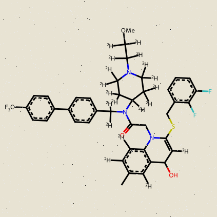 [2H]C1=C(SCc2cccc(F)c2F)N(CC(=O)N(C([2H])([2H])c2ccc(-c3ccc(C(F)(F)F)cc3)cc2)C2([2H])C([2H])([2H])C([2H])([2H])N(C([2H])([2H])C([2H])([2H])OC)C([2H])([2H])C2([2H])[2H])c2c([2H])c([2H])c(C)c([2H])c2C1O